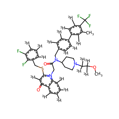 [2H]c1c([2H])c(F)c(F)c(CSc2c([2H])c(=O)c3c([2H])c([2H])c([2H])c([2H])c3n2CC(=O)N(Cc2c([2H])c([2H])c(-c3c([2H])c([2H])c(C(F)(F)F)c(C)c3[2H])c([2H])c2[2H])C2CCN(C([2H])([2H])C([2H])([2H])OC)CC2)c1[2H]